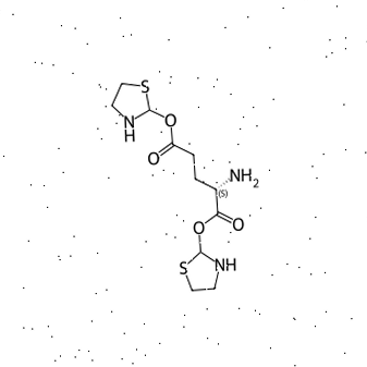 N[C@@H](CCC(=O)OC1NCCS1)C(=O)OC1NCCS1